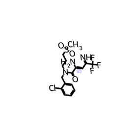 CS(=O)(=O)CCCN(Cc1ccccc1Cl)C(=O)/C(N)=C/C(=N)C(F)(F)F